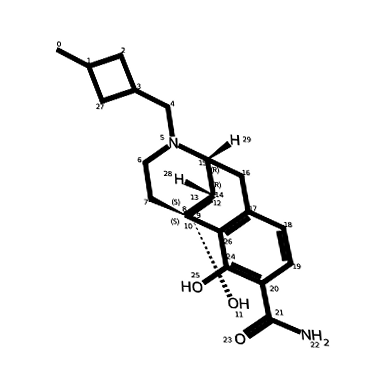 CC1CC(CN2CC[C@]34C[C@@H](O)CC[C@H]3[C@H]2Cc2ccc(C(N)=O)c(O)c24)C1